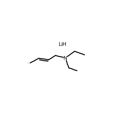 [CH2]/C=C/CN(CC)CC.[LiH]